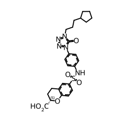 O=C(O)[C@@H]1CCc2cc(S(=O)(=O)Nc3ccc(-n4nnn(CCCC5CCCC5)c4=O)cc3)ccc2O1